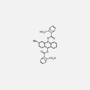 CC(C)(C)c1ccc2c(OC(=O)C3C4C=CC(C4)C3C(=O)O)c3ccccc3c(OC(=O)C3C4C=CC(C4)C3C(=O)O)c2c1